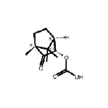 CC1(C)[C@H]2CC[C@@]1(C)C(=O)[C@H]2OC(=O)O